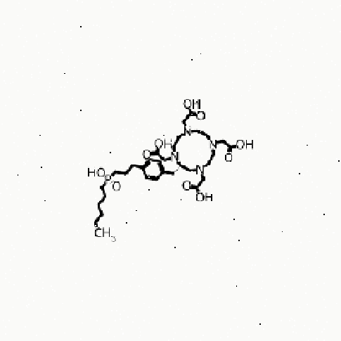 CCCCCCP(=O)(O)CCCc1ccc(C[C@H]2CN(CC(=O)O)CCN(CC(=O)O)CCN(CC(=O)O)CCN2CC(=O)O)cc1